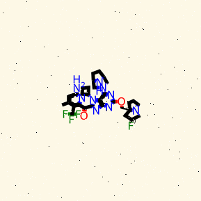 Cc1cc(N)nc(C(=O)c2nc3nc(OC[C@@]45CCCN4C[C@H](F)C5)nc(N4CC5CCC(C4)N5)c3n2C2CCC2)c1C(F)(F)F